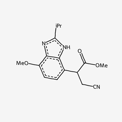 COC(=O)C(CC#N)c1ccc(OC)c2nc(C(C)C)[nH]c12